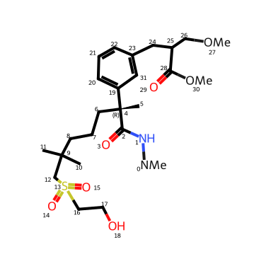 CNNC(=O)[C@](C)(CCCC(C)(C)CS(=O)(=O)CCO)c1cccc(CC(COC)C(=O)OC)c1